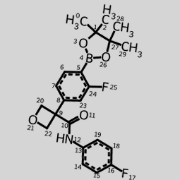 CC1(C)OB(c2ccc(C3(C(=O)Nc4ccc(F)cc4)COC3)cc2F)OC1(C)C